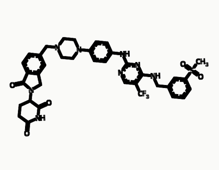 CS(=O)(=O)c1cccc(CNc2nc(Nc3ccc(N4CCN(Cc5ccc6c(c5)CN(C5CCC(=O)NC5=O)C6=O)CC4)cc3)ncc2C(F)(F)F)c1